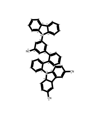 N#CC1=CC2c3cc(C#N)ccc3N(c3ccccc3-c3ccccc3-c3cc(C#N)cc(-n4c5ccccc5c5ccccc54)c3)C2C=C1